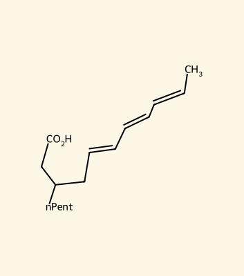 CC=CC=CC=CCC(CCCCC)CC(=O)O